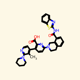 Cc1c(-c2ccc(N3CCc4cccc(C(=O)Nc5nc6ccccc6s5)c4C3)nc2C(=O)O)ccnc1N1CCCCC1